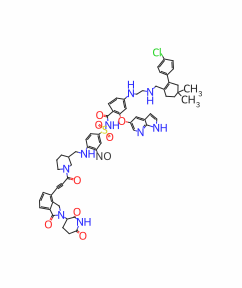 CC1(C)CCC(CNCCNc2ccc(C(=O)NS(=O)(=O)c3ccc(NCC4CCCN(C(=O)C#Cc5cccc6c5CN(C5CCC(=O)NC5=O)C6=O)C4)c(N=O)c3)c(Oc3cnc4[nH]ccc4c3)c2)=C(c2ccc(Cl)cc2)C1